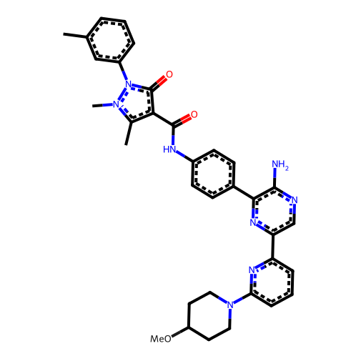 COC1CCN(c2cccc(-c3cnc(N)c(-c4ccc(NC(=O)c5c(C)n(C)n(-c6cccc(C)c6)c5=O)cc4)n3)n2)CC1